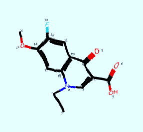 CCn1cc(C(=O)O)c(=O)c2cc(F)c(OC)cc21